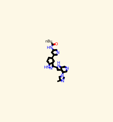 CCCCC(=O)Nc1cncc(-c2ccc3[nH]nc(-c4cc5c(-n6cnc(C)c6)cncc5[nH]4)c3c2)c1